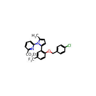 CCOC(=O)c1cccc(-n2c(C)ccc2-c2cc(C(F)(F)F)ccc2OCc2ccc(Cl)cc2)n1